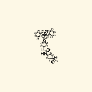 CS(=O)(=O)c1ccc(NC(=O)CC2CCN(CCN(c3ccccc3)S(=O)(=O)Cc3ccccc3)CC2)cc1